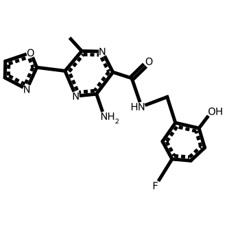 Cc1nc(C(=O)NCc2cc(F)ccc2O)c(N)nc1-c1ncco1